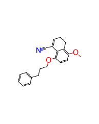 COc1ccc(OCCCc2ccccc2)c2c1CCC=C2C#N